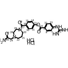 Cl.Cl.N=C(N)Nc1ccc(C(=O)Oc2ccc(C(=O)N3CCCN(CC(N)=O)CC3)cc2)cc1